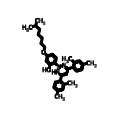 Cc1ccc(C2=CC(c3ccc(C)cc3C)=NN(c3ccc(OCCCCCC(C)C)cc3O)N2)c(C)c1